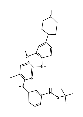 COc1cc(C2CCN(C)CC2)ccc1Nc1ncc(C)c(Nc2cccc(NSC(C)(C)C)c2)n1